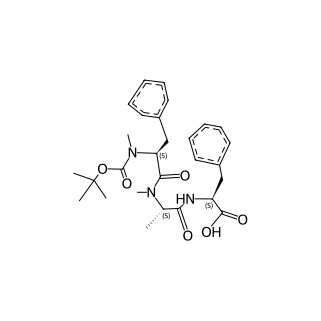 C[C@@H](C(=O)N[C@@H](Cc1ccccc1)C(=O)O)N(C)C(=O)[C@H](Cc1ccccc1)N(C)C(=O)OC(C)(C)C